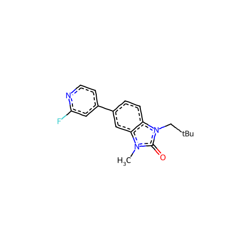 Cn1c(=O)n(CC(C)(C)C)c2ccc(-c3ccnc(F)c3)cc21